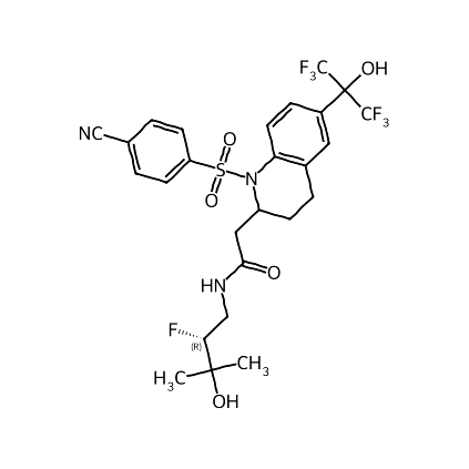 CC(C)(O)[C@H](F)CNC(=O)CC1CCc2cc(C(O)(C(F)(F)F)C(F)(F)F)ccc2N1S(=O)(=O)c1ccc(C#N)cc1